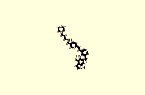 Cc1c(Nc2c(C#N)cncc2C=Cc2ccc(CNCCCN3CCOCC3)cn2)ccc2[nH]ccc12